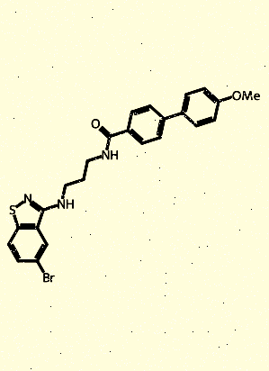 COc1ccc(-c2ccc(C(=O)NCCCNc3nsc4ccc(Br)cc34)cc2)cc1